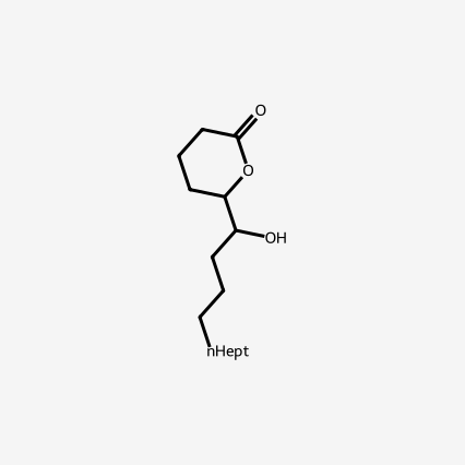 CCCCCCCCCCC(O)C1CCCC(=O)O1